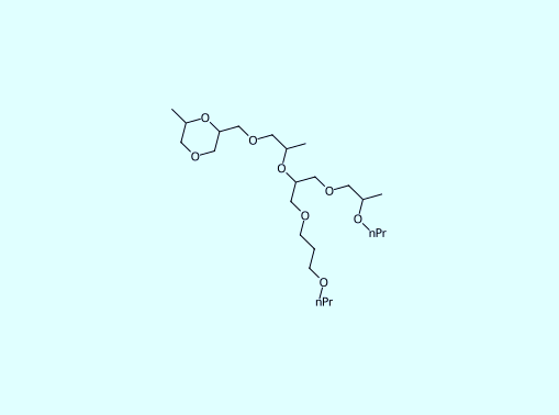 CCCOCCCOCC(COCC(C)OCCC)OC(C)COCC1COCC(C)O1